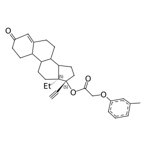 C#C[C@]1(OC(=O)COc2cccc(C)c2)CCC2C3CCC4=CC(=O)CCC4C3CC[C@@]21CC